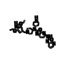 CCOc1cc(CN2CCC(N(c3nc4ccc(Nc5nc6cccnc6o5)nc4o3)C3CCNCC3)CC2)cc(OCC)c1N